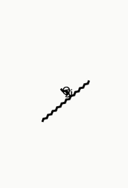 CCCCCCCCCCCCCC(CCCCCCCC)[Si](C)(C)OCC